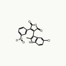 Cc1[nH]c2ccc(Cl)cc2c1C1=C(c2cccc([N+](=O)[O-])c2)C(=O)OC1=O